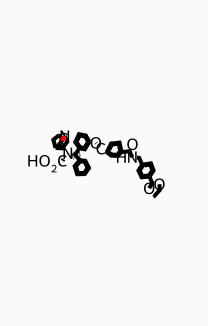 O=C(NCc1ccc(C2OCCO2)cc1)c1ccc(COc2cccc([C@H](c3ccccc3)N(C(=O)O)C3CN4CCC3CC4)c2)cc1